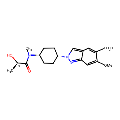 COc1cc2nn([C@H]3CC[C@H](N(C)C(=O)[C@@H](C)O)CC3)cc2cc1C(=O)O